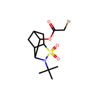 CC(C)(C)N1C2C3CC(CC3S1(=O)=O)C2OC(=O)CBr